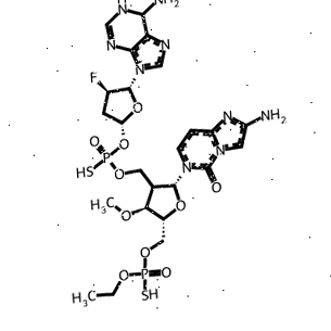 CCOP(=O)(S)OC[C@H]1O[C@@H](n2ccc3nc(N)cn3c2=O)C(COP(=O)(S)O[C@@H]2C[C@@H](F)[C@H](n3cnc4c3N=CNC4N)O2)[C@@H]1OC